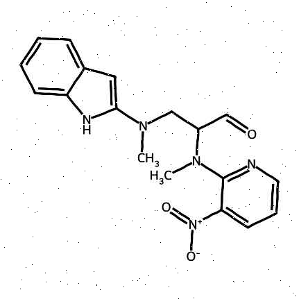 CN(CC(C=O)N(C)c1ncccc1[N+](=O)[O-])c1cc2ccccc2[nH]1